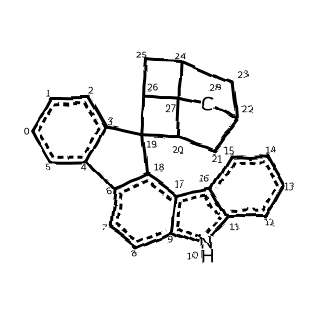 c1ccc2c(c1)-c1ccc3[nH]c4ccccc4c3c1C21C2CC3CC4CC1C42C3